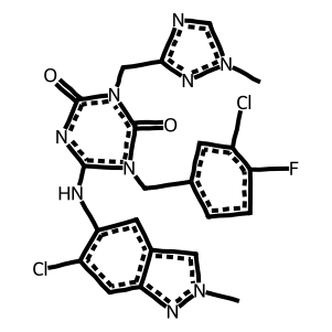 Cn1cnc(Cn2c(=O)nc(Nc3cc4cn(C)nc4cc3Cl)n(Cc3ccc(F)c(Cl)c3)c2=O)n1